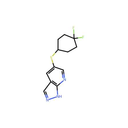 FC1(F)CCC(Sc2cnc3[nH]ncc3c2)CC1